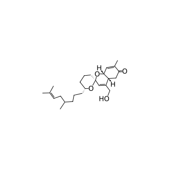 CC(C)=CCC(C)CCC[C@@H]1CCC[C@]2(C=C(CO)[C@H]3CC(=O)C(C)=C[C@H]3O2)O1